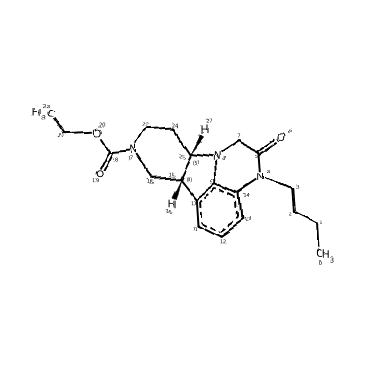 CCCCN1C(=O)CN2c3c(cccc31)[C@@H]1CN(C(=O)OCC)CC[C@@H]12